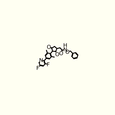 Cc1cc(-c2ncc(F)cc2F)cc(C)c1C1C(=O)CC(CC(=O)NOCc2ccccc2)C1=O